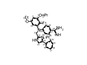 CCOc1cc(OC(C)C)c(F)c(N(Cc2nc(-c3ccccc3C(C)C)c[nH]2)c2ccc(C(=N)N)cc2)c1